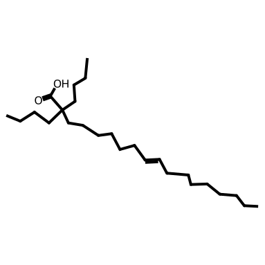 CCCCCCCCC=CCCCCCCC(CCCC)(CCCC)C(=O)O